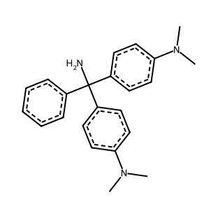 CN(C)c1ccc(C(N)(c2ccccc2)c2ccc(N(C)C)cc2)cc1